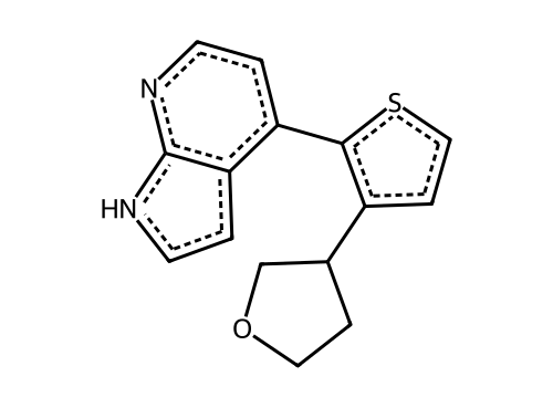 c1cc(-c2sccc2C2CCOC2)c2cc[nH]c2n1